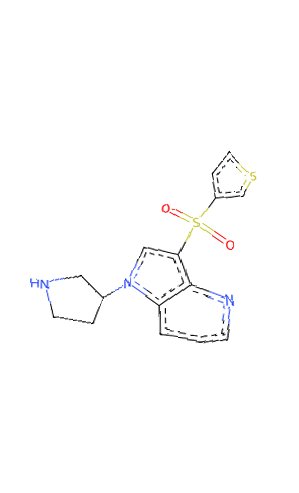 O=S(=O)(c1ccsc1)c1cn(C2CCNC2)c2cccnc12